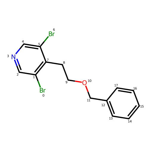 Brc1cncc(Br)c1CCOCc1ccccc1